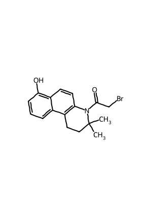 CC1(C)CCc2c(ccc3c(O)cccc23)N1C(=O)CBr